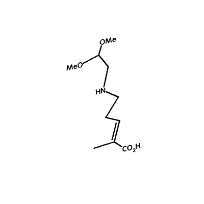 COC(CNCCC=C(C)C(=O)O)OC